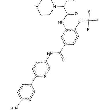 CC(C(=O)Nc1cc(C(=O)Nc2ccc(-c3ccc(N)nc3)nc2)ccc1OC(F)(F)F)N1CCOCC1